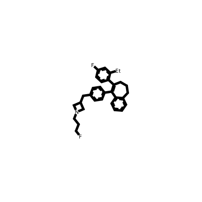 CCc1cc(F)ccc1C1=C(c2ccc(CC3CN(CCCF)C3)cc2)c2ccccc2CCC1